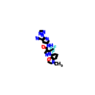 CN1CCOc2c1cccc2-n1ncc(C(=O)Nc2cnc(-n3nccn3)c(C#N)c2)c1C(F)(F)F